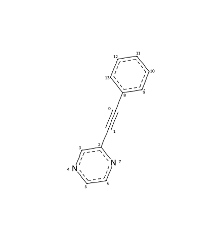 C(#Cc1cnccn1)c1[c]cccc1